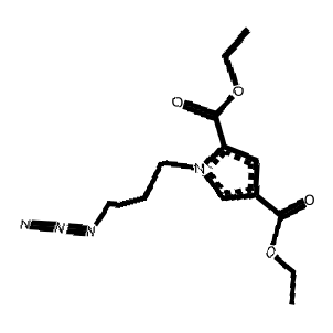 CCOC(=O)c1cc(C(=O)OCC)n(CCCN=[N+]=[N-])c1